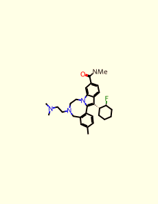 CNC(=O)c1ccc2c([C@H]3CCCC[C@@H]3F)c3n(c2c1)CCN(CCN(C)C)Cc1cc(C)ccc1-3